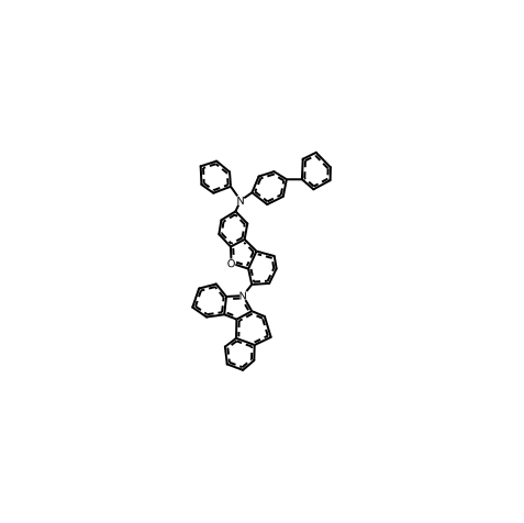 c1ccc(-c2ccc(N(c3ccccc3)c3ccc4oc5c(-n6c7ccccc7c7c8ccccc8ccc76)cccc5c4c3)cc2)cc1